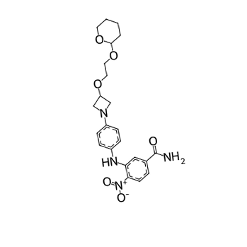 NC(=O)c1ccc([N+](=O)[O-])c(Nc2ccc(N3CC(OCCOC4CCCCO4)C3)cc2)c1